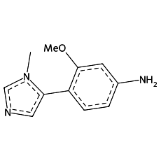 COc1cc(N)ccc1-c1cncn1C